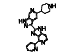 c1ccc(-c2nccc3[nH]c(-c4n[nH]c5cnc(C6CCNCC6)cc45)nc23)nc1